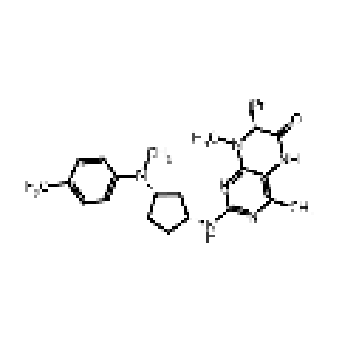 Cc1nc(N[C@@H]2CC[C@H](N(C)c3ccc(C(F)(F)F)cc3)C2)nc2c1NC(=O)[C@H](C(C)C)N2C